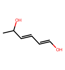 CC(O)C=CC=CO